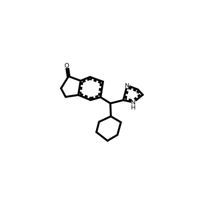 O=C1CCc2cc(C(c3ncc[nH]3)C3CCCCC3)ccc21